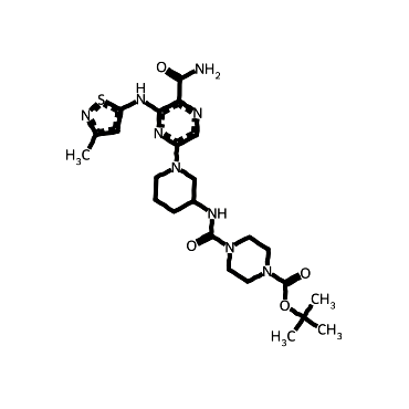 Cc1cc(Nc2nc(N3CCCC(NC(=O)N4CCN(C(=O)OC(C)(C)C)CC4)C3)cnc2C(N)=O)sn1